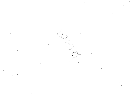 O=CN1CCc2cc(S(=O)(=O)N3CCN(c4cc(C(F)(F)F)cc(Cl)n4)CC3)ccc21